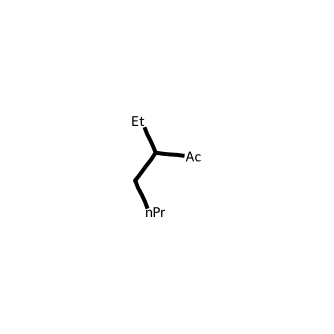 CCCCC(CC)C(C)=O